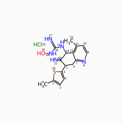 Cc1ccc(C2Cc3nccc(C)c3C(NC(=N)NO)C2=N)s1.Cl